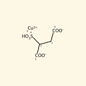 O=C([O-])CC(C(=O)[O-])S(=O)(=O)O.[Cu+2]